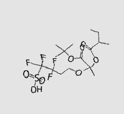 CCC(C)C(=O)OC(C)(OCCC(F)(F)C(F)(F)S(=O)(=O)O)C(=O)OC(C)(C)C